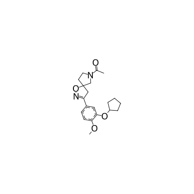 COc1ccc(C2=NOC3(CCN(C(C)=O)C3)C2)cc1OC1CCCC1